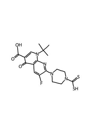 CC(C)(C)n1cc(C(=O)O)c(=O)c2cc(F)c(N3CCN(C(=S)S)CC3)nc21